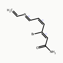 C=C/N=C/C=C\C(Br)=C\C(N)=O